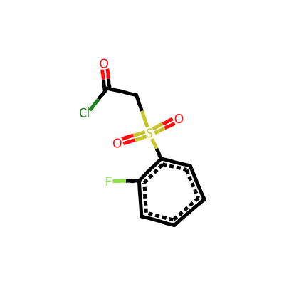 O=C(Cl)CS(=O)(=O)c1ccccc1F